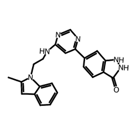 Cc1cc2ccccc2n1CCNc1cc(-c2ccc3c(=O)[nH][nH]c3c2)ncn1